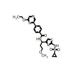 CCOc1cncc(-c2ccc(C(=O)NC(CCOC)c3csc(NS(=O)(=O)C4CC4)n3)cc2)n1